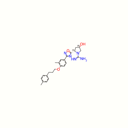 Cc1ccc(CCCOc2ccc(-c3noc([C@@H]4C[C@@H](O)CN4C(=N)N)n3)cc2C)cc1